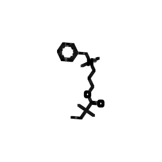 CCC(C)(C)C(=O)OCCC[N+](C)(C)Cc1ccccc1